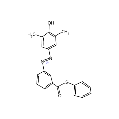 Cc1cc(/N=N/c2cccc(C(=O)Sc3ccccc3)c2)cc(C)c1O